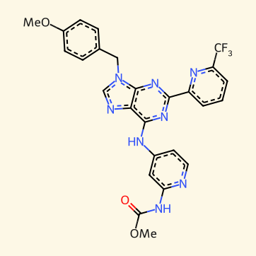 COC(=O)Nc1cc(Nc2nc(-c3cccc(C(F)(F)F)n3)nc3c2ncn3Cc2ccc(OC)cc2)ccn1